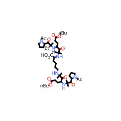 CCCCOC(=O)CCC(NC(C)(C)C(=O)C1CCCN1C(C)=O)C(=O)C(C)(C)NCCCCC(NC(C)(C)C(=O)C(CCC(=O)OC(C)(C)C)NC(C)(CC)C(=O)C1CCCN1C(C)=O)C(=O)O